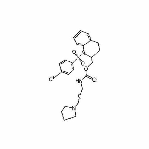 O=C(NCCCN1CCCC1)OCC1CCc2ccccc2N1S(=O)(=O)c1ccc(Cl)cc1